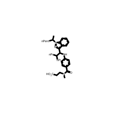 CCCCCC(C)n1nc(C(Nc2ccc(C(=O)N(C)CCC(=O)O)cc2)C(CCC)CCC)c2ccccc21